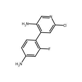 Nc1ccc(-c2cc(Cl)ncc2N)c(F)c1